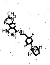 CNc1c(C(=O)NCCc2cc(F)c(N3C[C@H]4CC[C@@H](C3)N4)cc2F)sc2nc(C)cnc12